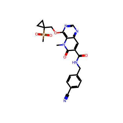 Cn1c(=O)c(C(=O)NCc2ccc(C#N)cc2)cc2ncnc(OCC3(S(C)(=O)=O)CC3)c21